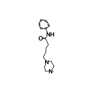 O=C(CCCCN1CC[N]CC1)Nc1ccccc1